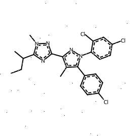 CCC(C)c1nc(-c2nn(-c3ccc(Cl)cc3Cl)c(-c3ccc(Cl)cc3)c2C)nn1C